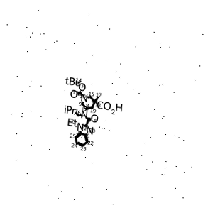 CCn1c(C(=O)N(CC(C)C)[C@@H]2CN(C(=O)OC(C)(C)C)C[C@](C)(C(=O)O)C2)nc2ccccc21